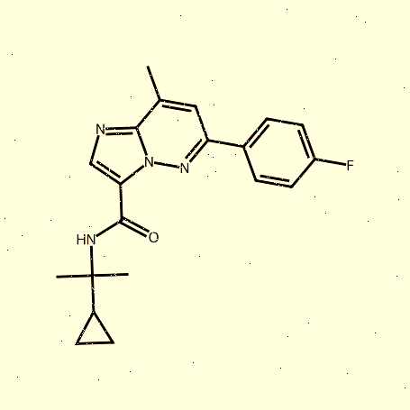 Cc1cc(-c2ccc(F)cc2)nn2c(C(=O)NC(C)(C)C3CC3)cnc12